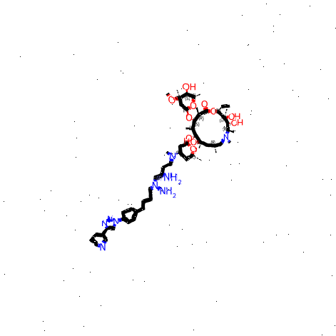 CC[C@H]1OC(=O)[C@H](C)[C@@H](O[C@H]2C[C@@](C)(OC)[C@@H](O)[C@H](C)O2)[C@H](C)[C@@H](O[C@H]2C[C@@H](N(C)CC/C(N)=C/N(N)CCCCc3ccc(-n4cc(-c5cccnc5)nn4)cc3)C[C@@H](C)O2)[C@](C)(O)C[C@@H](C)CN(C)[C@H](C)[C@@H](O)[C@]1(C)O